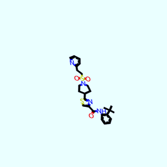 CC(C)(C)c1ccccc1NC(=O)c1csc(C2CCN(S(=O)(=O)CCc3ccccn3)CC2)n1